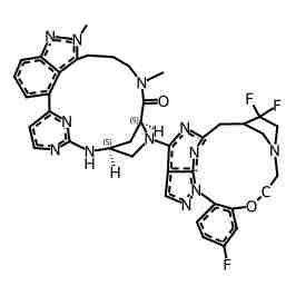 CN1CCCc2c3c(cccc3nn2C)-c2ccnc(n2)N[C@H]2C[C@@H](C1=O)N(c1nc3nc4c1cnn4-c1ccc(F)cc1OCCN1CC(C3)C(F)(F)C1)C2